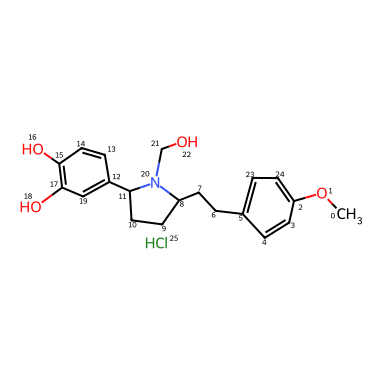 COc1ccc(CCC2CCC(c3ccc(O)c(O)c3)N2CO)cc1.Cl